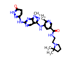 Cc1ncc(C(=O)NCCN2CCCC2(C)C)cc1Nc1nn(C)c2nc(Nc3ccc(=O)[nH]n3)ncc12